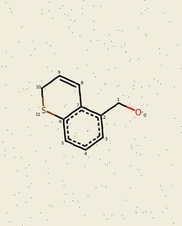 [O]Cc1cccc2c1C=CCS2